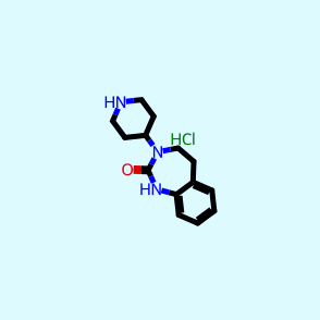 Cl.O=C1Nc2ccccc2CCN1C1CCNCC1